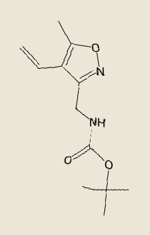 C=Cc1c(CNC(=O)OC(C)(C)C)noc1C